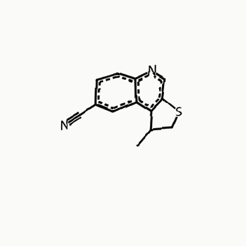 CC1CSc2cnc3ccc(C#N)cc3c21